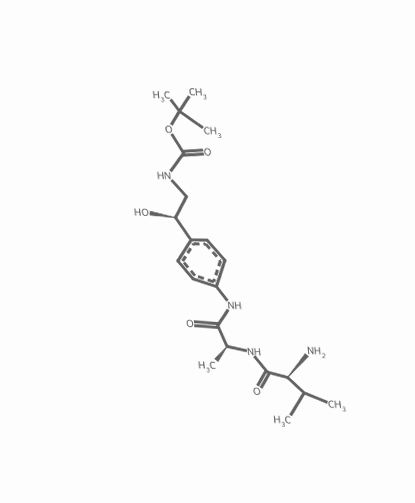 CC(C)[C@H](N)C(=O)N[C@@H](C)C(=O)Nc1ccc([C@@H](O)CNC(=O)OC(C)(C)C)cc1